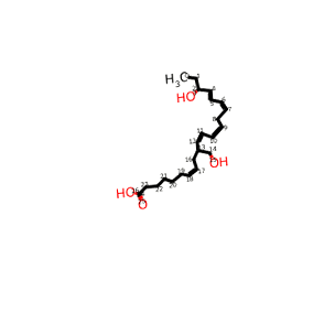 CCC(O)/C=C/C=C\C/C=C\C=C/C(CO)C/C=C\CCCCCC(=O)O